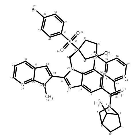 COc1cc(C(=O)N2CC3CCC2C3N)cc2nc(-c3cc4cccnc4n3C)n(C[C@@]3(S(=O)(=O)c4ccc(Br)cc4)CCN(c4ccnc(C)n4)C3)c12